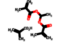 C=C(C)C(=O)O.C=C(C)C(=O)OC(C)OC(=O)C(=C)C